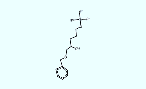 CC(C)[Si](OCCCC(O)COCc1ccccc1)(C(C)C)C(C)C